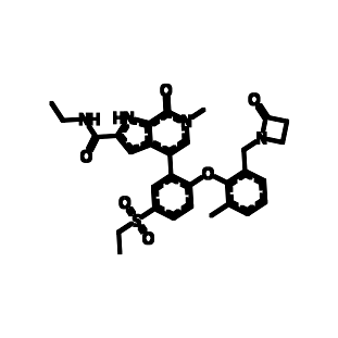 CCNC(=O)c1cc2c(-c3cc(S(=O)(=O)CC)ccc3Oc3c(C)cccc3CN3CCC3=O)cn(C)c(=O)c2[nH]1